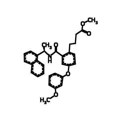 COC(=O)CCCc1ccc(Oc2cccc(OC)c2)cc1C(=O)N[C@H](C)c1cccc2ccccc12